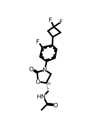 CC(=O)NC[C@H]1CN(c2ccc(C3CC(F)(F)C3)c(F)c2)C(=O)O1